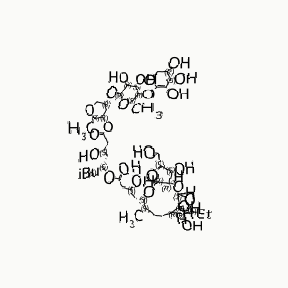 CC[C@@H]1O[C@H]2O[C@H]3[C@@H](O[C@@H](CO)[C@@H]3O)O[C@@H](C[C@H](O)CC(=O)O[C@@H](C[C@H](O)CC(=O)O[C@@H]3C[C@@H](O[C@@H]4O[C@@H](C)[C@H](OC5=C(O)[C@@H](O)[C@H](O)CO5)[C@@H](O)[C@H]4O)CO[C@@H]3C)[C@@H](C)CC)[C@@H](C)CC[C@H]([C@H]1O)[C@H]2O